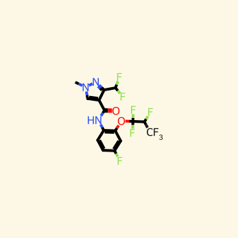 Cn1cc(C(=O)Nc2ccc(F)cc2OC(F)(F)C(F)C(F)(F)F)c(C(F)F)n1